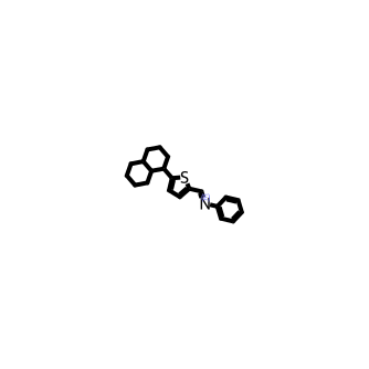 C(=N\c1ccccc1)/c1ccc(C2CCCC3CCCCC32)s1